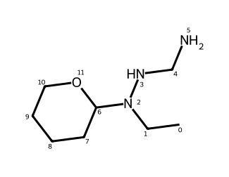 CCN(NCN)C1CCCCO1